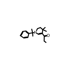 CCC(=O)C1=CN(C(C)(C)c2ccccc2)CCC1(C)C